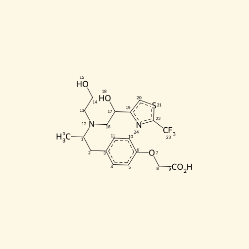 CC(Cc1ccc(OCC(=O)O)cc1)N(CCO)CC(O)c1csc(C(F)(F)F)n1